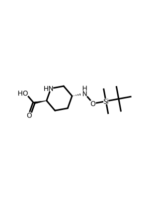 CC(C)(C)[Si](C)(C)ON[C@@H]1CC[C@@H](C(=O)O)NC1